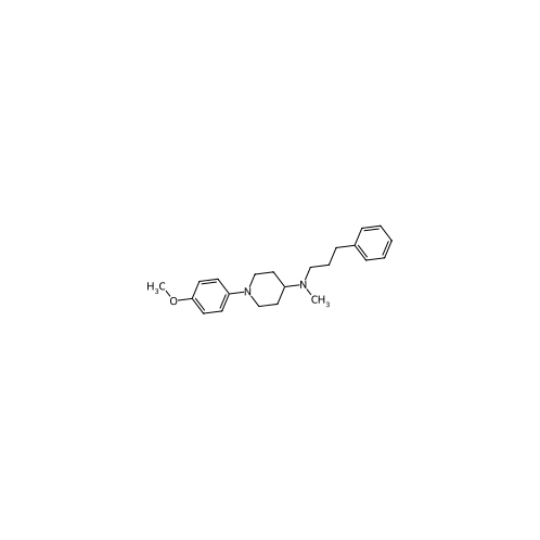 COc1ccc(N2CCC(N(C)CCCc3ccccc3)CC2)cc1